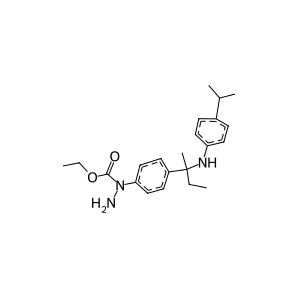 CCOC(=O)N(N)c1ccc(C(C)(CC)Nc2ccc(C(C)C)cc2)cc1